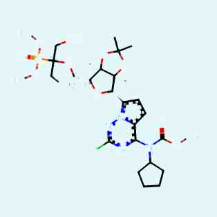 CCOP(=O)(OCC)C(CO)(COC)OC[C@H]1O[C@H](c2ccc3c(N(C(=O)OC(C)(C)C)C4CCCC4)nc(Cl)nn23)[C@@H]2OC(C)(C)O[C@@H]21